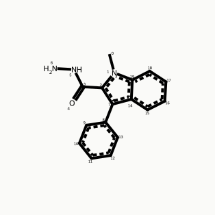 Cn1c(C(=O)NN)c(-c2ccccc2)c2ccccc21